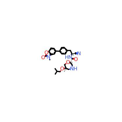 CC(C)CO[C@]1(C)CNC[C@@H](C(=O)N[C@H](C#N)Cc2ccc(-c3ccc4oc(=O)n(C)c4c3)cc2)OC1